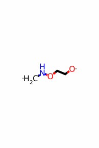 [CH2]NOCC[O]